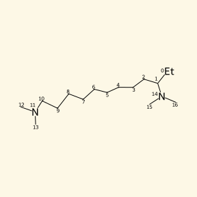 CCC(CCCCCCCCCN(C)C)N(C)C